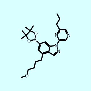 CCCc1cncc(-n2ncc3c(CCCCOC)cc(B4OC(C)(C)C(C)(C)O4)cc32)n1